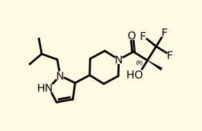 CC(C)CN1NC=CC1C1CCN(C(=O)[C@@](C)(O)C(F)(F)F)CC1